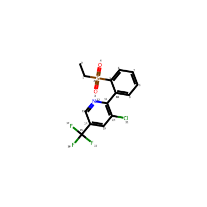 CCS(=O)(=O)c1ccccc1-c1ncc(C(F)(F)F)cc1Cl